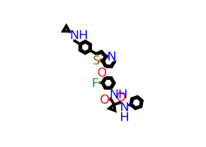 O=C(Nc1ccccc1)C1(C(=O)Nc2ccc(Oc3ccnc4cc(-c5ccc(CNC6CC6)cc5)sc34)c(F)c2)CC1